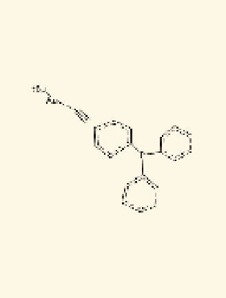 C#[C][Au][C](C)(C)C.c1ccc(P(c2ccccc2)c2ccccc2)cc1